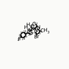 CCc1nc2c(C)cc(Br)cn2c1N(C)c1nc(C2=CCC=C(F)C=C2)cs1